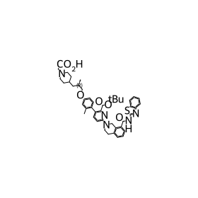 Cc1cc(OC[C@H](C)CC2CCN(CC(=O)O)CC2)ccc1-c1ccc(N2CCc3cccc(C(=O)Nc4nc5ccccc5s4)c3C2)nc1C(=O)OC(C)(C)C